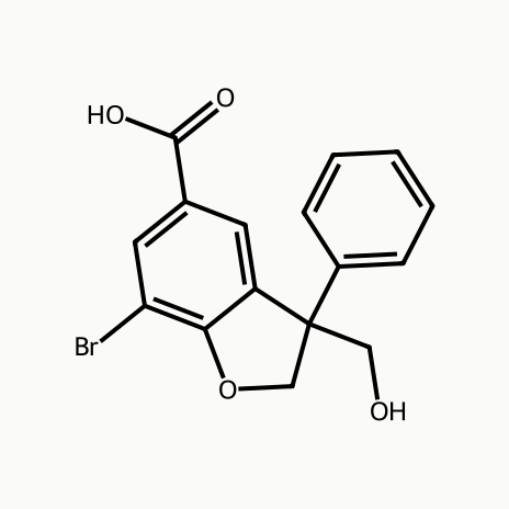 O=C(O)c1cc(Br)c2c(c1)C(CO)(c1ccccc1)CO2